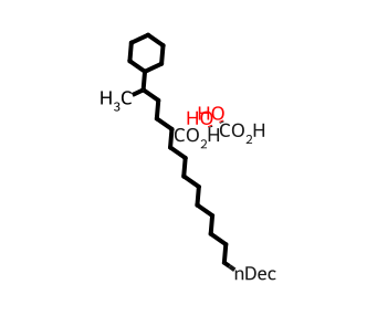 CCCCCCCCCCCCCCCCCCCCCCC(C)C1CCCCC1.O=C(O)O.O=C(O)O